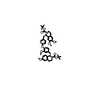 COc1ccc2c(c1)CCN(C(=O)OC(C)(C)C)[C@@H]2Cc1ccc(Oc2ccc(C[C@@H]3c4cc(OC)c(OC)cc4CCN3C(=O)OC(C)(C)C)cn2)c(OC)c1